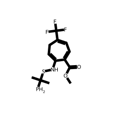 COC(=O)C1=CC=C(C(F)(F)F)CC=C1NSC(C)(C)P